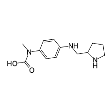 CN(C(=O)O)c1ccc(NCC2CCCN2)cc1